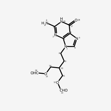 Nc1nc2c(ncn2CCC(COC=O)COC=O)c(=O)[nH]1